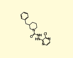 O=C(NNc1nccnc1Cl)N1CCCC(Cc2ccccc2)C1